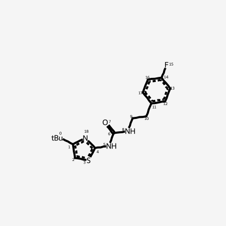 CC(C)(C)c1csc(NC(=O)NCCc2ccc(F)cc2)n1